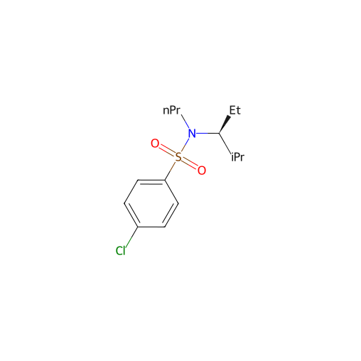 CCCN([C@@H](CC)C(C)C)S(=O)(=O)c1ccc(Cl)cc1